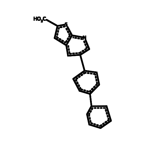 O=C(O)c1cc2cc(-c3ccc(-c4ccccc4)cc3)cnc2s1